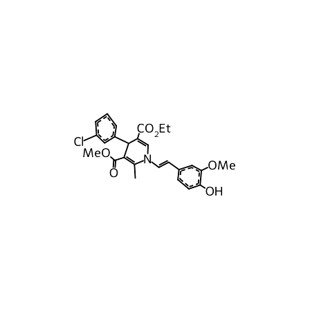 CCOC(=O)C1=CN(C=Cc2ccc(O)c(OC)c2)C(C)=C(C(=O)OC)C1c1cccc(Cl)c1